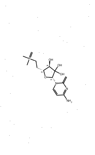 C=C1N=C(N)C=CN1[C@@H]1O[C@H](CCP(=C)(C)C)[C@@H](O)C1(O)O